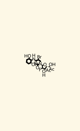 CC(=O)C(O)[C@H]1O[C@@H](n2cc(Br)c(Nc3c(O)cccc3O)nc2=O)C(F)[C@@]1(O)C(C)=O